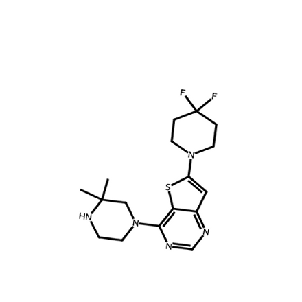 CC1(C)CN(c2ncnc3cc(N4CCC(F)(F)CC4)sc23)CCN1